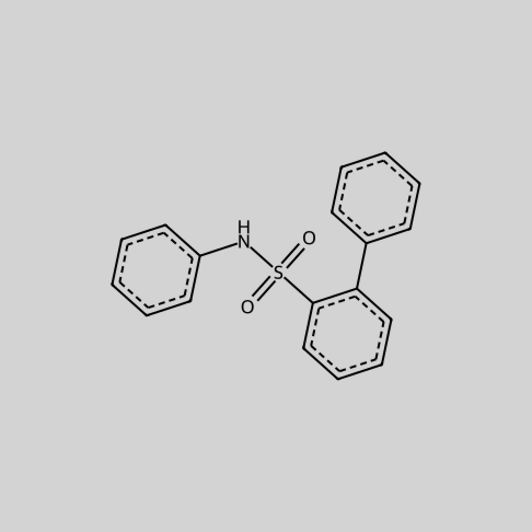 O=S(=O)(Nc1ccccc1)c1ccccc1-c1ccccc1